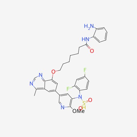 COc1ncc(-c2cc(OCCCCCCC(=O)Nc3ccccc3N)c3ncnc(C)c3c2)cc1N(c1ccc(F)cc1F)[SH](=O)=O